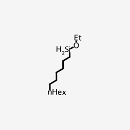 CCCCCCCCCCCC[SiH2]OCC